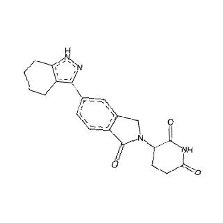 O=C1CCC(N2Cc3cc(-c4n[nH]c5c4CCCC5)ccc3C2=O)C(=O)N1